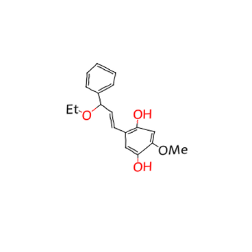 CCOC(C=Cc1cc(O)c(OC)cc1O)c1ccccc1